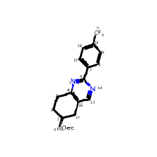 CCCCCCCCCCC1CCc2nc(-c3ccc(C(F)(F)F)cc3)ncc2C1